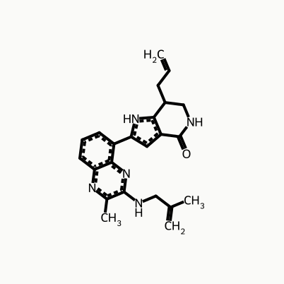 C=CCC1CNC(=O)c2cc(-c3cccc4nc(C)c(NCC(=C)C)nc34)[nH]c21